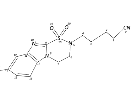 N#CCCCCN1CCn2c(nc3cc(Cl)ccc32)S1(=O)=O